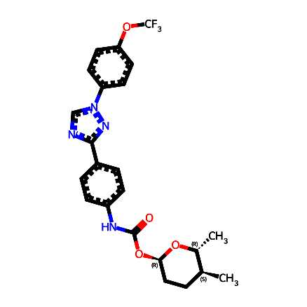 C[C@H]1CC[C@@H](OC(=O)Nc2ccc(-c3ncn(-c4ccc(OC(F)(F)F)cc4)n3)cc2)O[C@@H]1C